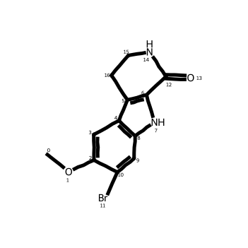 COc1cc2c3c([nH]c2cc1Br)C(=O)NCC3